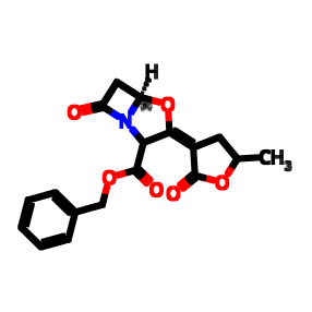 CC1CC(=C2O[C@@H]3CC(=O)N3C2C(=O)OCc2ccccc2)C(=O)O1